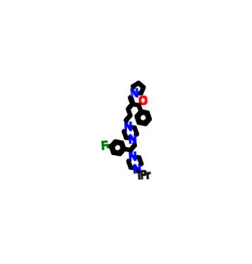 CC(C)N1CCN(C(CN2CCN(CCCC(=CN3CCCC3)C(=O)c3ccccc3)CC2)c2ccc(F)cc2)CC1